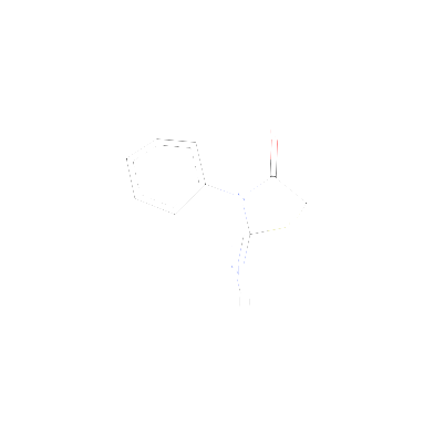 CC/N=C1\SCC(=O)N1c1ccccc1